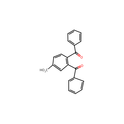 O=C(O)c1ccc(C(=O)c2ccccc2)c(C(=O)c2ccccc2)c1